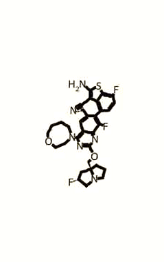 N#Cc1c(N)sc2c(F)ccc(-c3c(Cl)cc4c(N5CCCCOCC5)nc(OC[C@@]56CCCN5C[C@H](F)C6)nc4c3F)c12